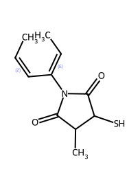 C/C=C\C(=C/C)N1C(=O)C(C)C(S)C1=O